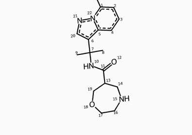 Cc1cccc2c(C(C)(C)NC(=O)C3CNCCOC3)cnn12